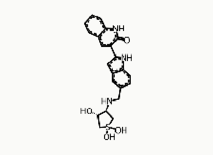 O=c1[nH]c2ccccc2cc1-c1cc2cc(CN[C@H]3CS(O)(O)C[C@@H]3O)ccc2[nH]1